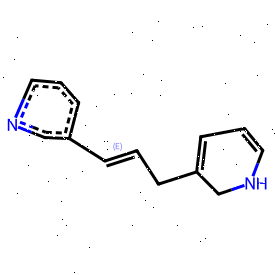 C1=CNCC(C/C=C/c2cccnc2)=C1